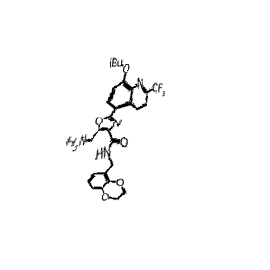 CCC(C)Oc1ccc(-c2nc(C(=O)NCc3cccc4c3OCCO4)c(CN)o2)c2ccc(C(F)(F)F)nc12